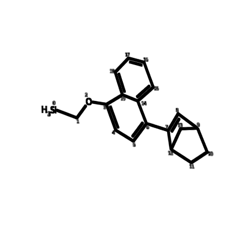 [SiH3]COc1ccc(C2=CC3CCC2C3)c2ccccc12